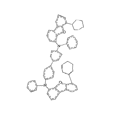 c1ccc(N(c2ccc(-c3ccc(N(c4ccccc4)c4cccc5c4oc4c(C6CCCCC6)cccc45)cc3)cc2)c2cccc3c2oc2c(C4CCCCC4)cccc23)cc1